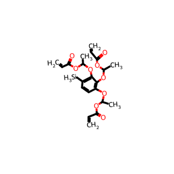 C=CC(=O)OC(C)Oc1ccc([SiH3])c(OC(C)OC(=O)C=C)c1OC(C)OC(=O)C=C